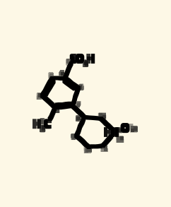 Cc1ccc(S(=O)(=O)O)cc1C1CCC[NH+]([O-])C1